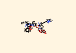 C[C@@H]1N(c2cc(C#Cc3ccn(C)n3)cnc2O[C@H]2C[C@@H](C(=O)O)N(c3nc(C(C)(C)C)nc4c3oc3ccccc34)C2)CCOC12COC2